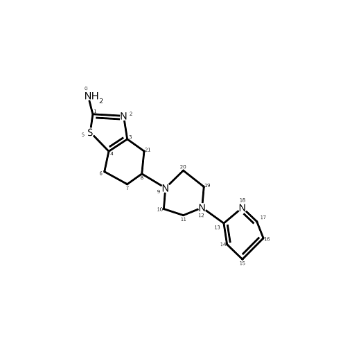 Nc1nc2c(s1)CCC(N1CCN(c3ccccn3)CC1)C2